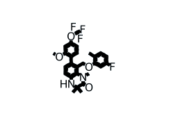 COc1cc(OC(F)(F)F)ccc1-c1ccc2c(c1COc1cc(F)ccc1C)N(C)C(=O)C(C)(C)N2